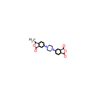 C=C1OC(=O)c2cc(N3CCN(c4ccc5c(c4)C(=O)OC5=O)CC3)ccc21